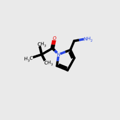 CC(C)(C)C(=O)n1cccc1CN